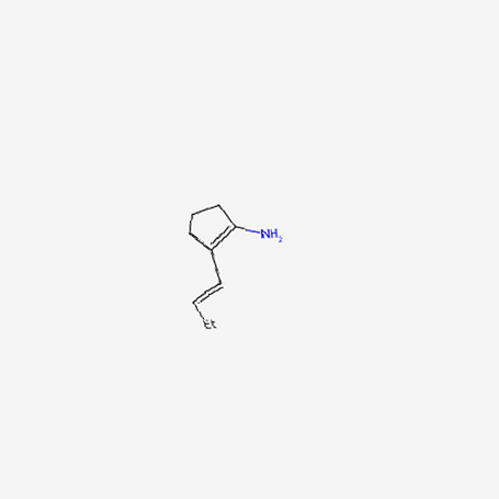 CCC=CC1=C(N)CCC1